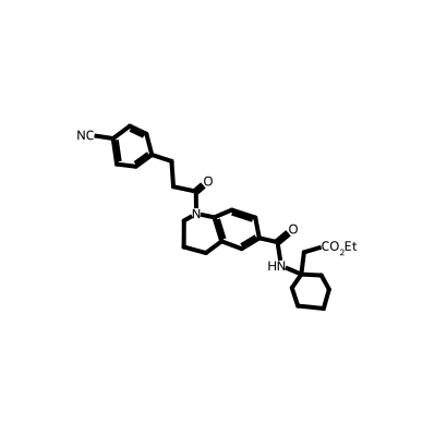 CCOC(=O)CC1(NC(=O)c2ccc3c(c2)CCCN3C(=O)CCc2ccc(C#N)cc2)CCCCC1